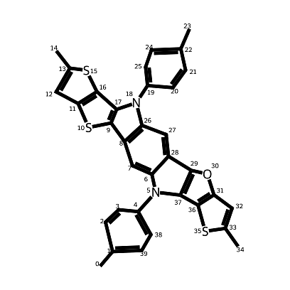 Cc1ccc(-n2c3cc4c5sc6cc(C)sc6c5n(-c5ccc(C)cc5)c4cc3c3oc4cc(C)sc4c32)cc1